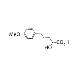 COc1ccc(CCC[C@H](O)C(=O)O)cc1